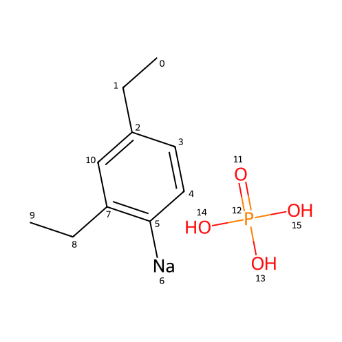 CCc1cc[c]([Na])c(CC)c1.O=P(O)(O)O